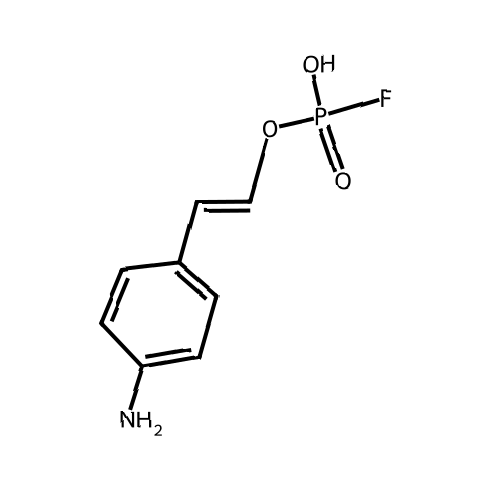 Nc1ccc(C=COP(=O)(O)F)cc1